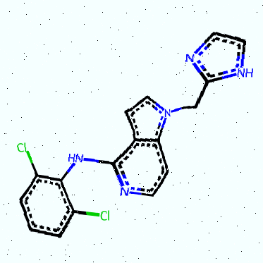 Clc1cccc(Cl)c1Nc1nccc2c1ccn2Cc1ncc[nH]1